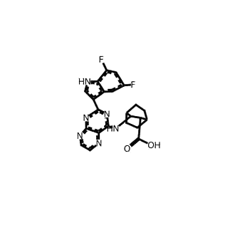 O=C(O)C1C2CCC(CC2)C1Nc1nc(-c2c[nH]c3c(F)cc(F)cc23)nc2nccnc12